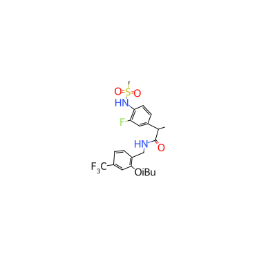 CC(C)COc1cc(C(F)(F)F)ccc1CNC(=O)C(C)c1ccc(NS(C)(=O)=O)c(F)c1